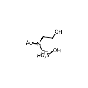 CC(=O)N(C)CCO.O=S(=O)(O)O